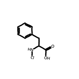 O=C(O)C(Cc1ccccc1)NCl